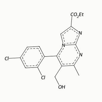 CCOC(=O)c1cn2c(-c3ccc(Cl)cc3Cl)c(CO)c(C)nc2n1